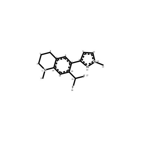 CN1CCCc2cc(-c3ccn(C)n3)c(C(F)F)cc21